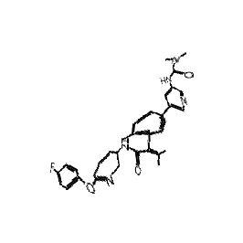 CC(C)=C(C(=O)NC1C=CC(Oc2ccc(F)cc2)=NC1)c1cc(-c2cncc(NC(=O)N(C)C)c2)ccc1C